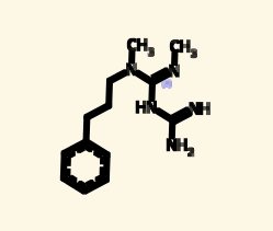 C/N=C(/NC(=N)N)N(C)CCCc1ccccc1